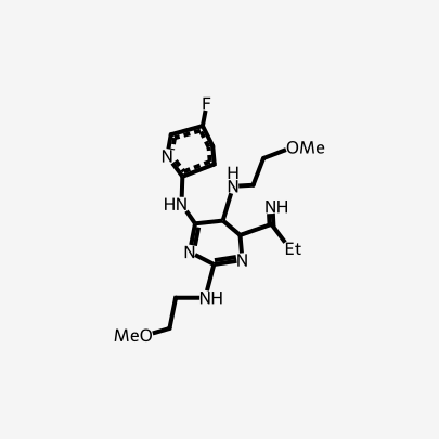 CCC(=N)C1N=C(NCCOC)N=C(Nc2ccc(F)cn2)C1NCCOC